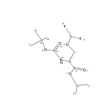 CC(C)OC(=O)C(COC(F)F)NC(=O)OC(C)(C)C